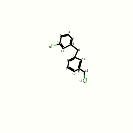 Fc1cccc(Cc2cccc(CCl)c2)c1